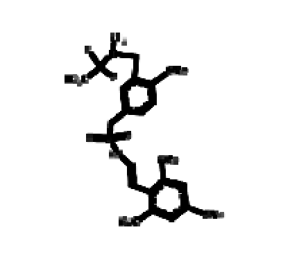 COc1cc(OC)c(C=CNS(=O)(=O)Cc2ccc(OC)c(CN(C)C(F)(F)C(=O)O)c2)c(OC)c1